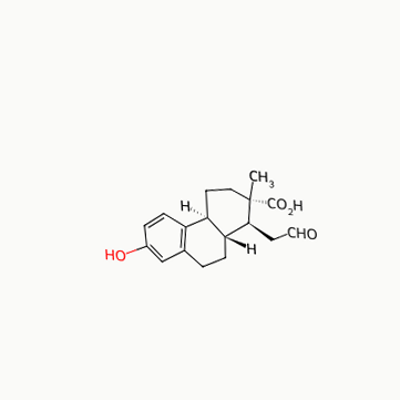 C[C@]1(C(=O)O)CC[C@@H]2c3ccc(O)cc3CC[C@H]2[C@@H]1CC=O